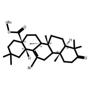 CCCCOC(=O)[C@]12CCC(C)(C)C[C@H]1C1=C(Br)CC3[C@@]4(C)CCC(=O)C(C)(C)[C@@H]4CC[C@@]3(C)[C@]1(C)CC2